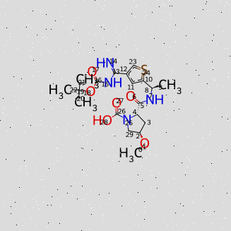 CO[C@@H]1C[C@@H](C(=O)N[C@H](C)c2cc(C(=N)NC(=O)OC(C)(C)C)cs2)N(C(=O)O)C1